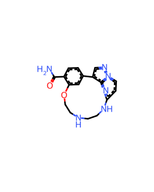 NC(=O)c1ccc2cc1OCCNCCNc1ccn3ncc-2c3n1